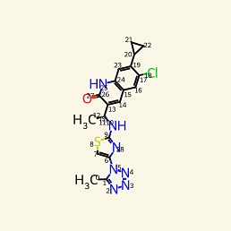 Cc1nnnn1-c1csc(N[C@@H](C)c2cc3cc(Cl)c(C4CC4)cc3[nH]c2=O)n1